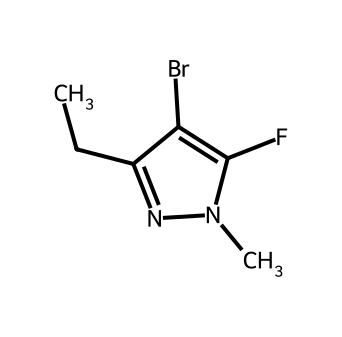 CCc1nn(C)c(F)c1Br